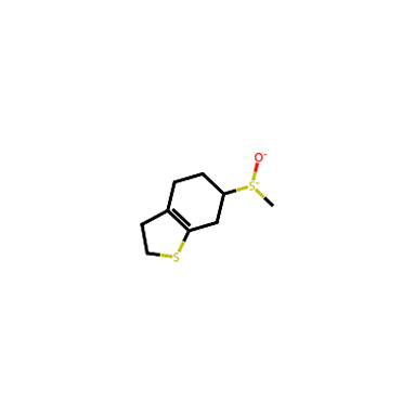 C[S+]([O-])C1CCC2=C(C1)SCC2